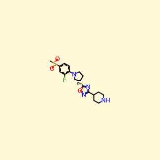 CS(=O)(=O)c1ccc(N2CC[C@H](c3nc(C4CCNCC4)no3)C2)c(F)c1